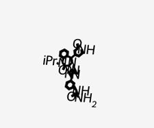 CC(C)CN1C(=O)[C@@H](n2nnc(-c3cccc(NC(N)=O)c3)n2)N=C(c2cc[nH]c(=O)c2)c2ccccc21